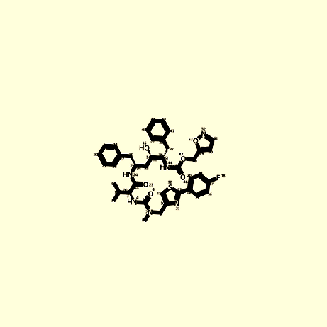 CC(C)[C@H](NC(=O)N(C)Cc1csc(-c2ccc(F)cc2)n1)C(=O)N[C@@H](Cc1ccccc1)C[C@H](O)[C@H](Cc1ccccc1)NC(=O)OCc1ccno1